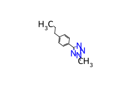 CCCc1ccc(-c2nnn(C)n2)cc1